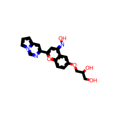 OCC(O)COc1ccc2oc(-c3cc4cccn4cn3)cc(=NO)c2c1